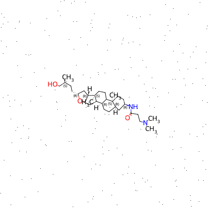 C[C@H](CO)CC[C@@H]1C[C@H]2C(CC3[C@@H]4CC[C@@H]5C[C@H](NC(=O)CCN(C)C)CC[C@]5(C)C4CC[C@@]32C)O1